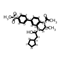 CC(=O)N1c2ccc(-c3ccc(S(C)(=O)=O)cc3)cc2N(C(O)CC2CCCC2)C[C@@H]1C